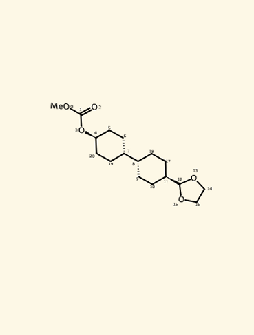 COC(=O)O[C@H]1CC[C@H]([C@H]2CC[C@H](C3OCCO3)CC2)CC1